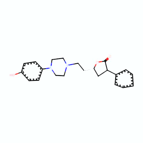 O=C1O[C@@H](CCN2CCN(c3ccc(O)cc3)CC2)CC1c1ccccc1